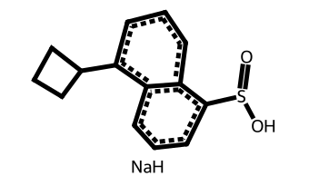 O=S(O)c1cccc2c(C3CCC3)cccc12.[NaH]